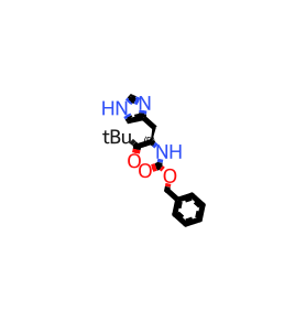 CC(C)(C)C(=O)[C@@H](Cc1c[nH]cn1)NC(=O)OCc1ccccc1